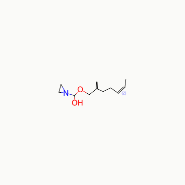 C=C(CC/C=C\C)COC(O)N1CC1